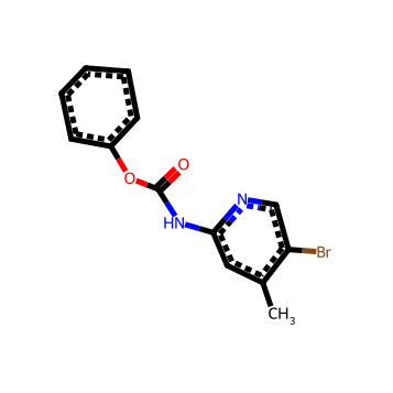 Cc1cc(NC(=O)Oc2ccccc2)ncc1Br